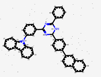 c1ccc(C2=NC(c3cccc(-n4c5ccccc5c5ccccc54)c3)=NC(c3ccc(-c4ccc5ccccc5c4)cc3)N2)cc1